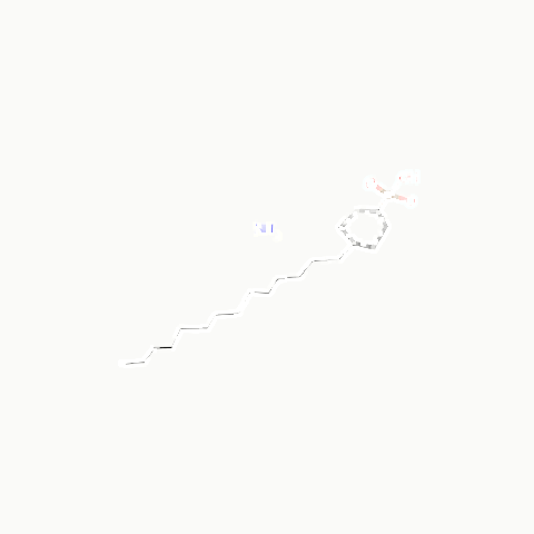 CCCCCCCCCCCCCCc1ccc(S(=O)(=O)O)cc1.N